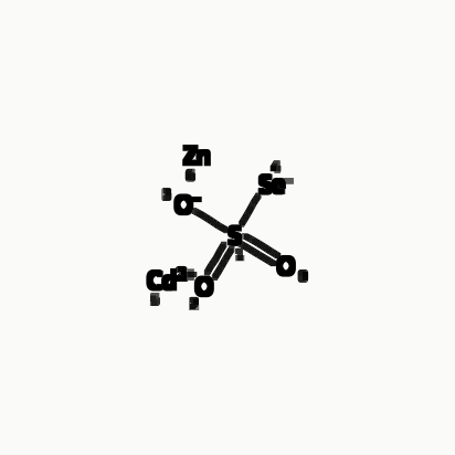 O=S(=O)([O-])[Se-].[Cd+2].[Zn]